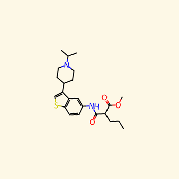 CCCC(C(=O)Nc1ccc2scc(C3CCN(C(C)C)CC3)c2c1)C(=O)OC